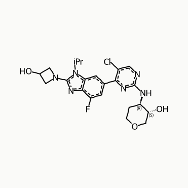 CC(C)n1c(N2CC(O)C2)nc2c(F)cc(-c3nc(N[C@@H]4CCOC[C@H]4O)ncc3Cl)cc21